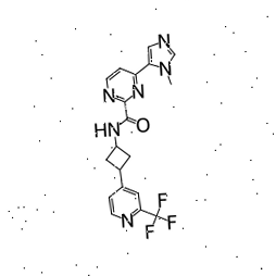 Cn1cncc1-c1ccnc(C(=O)NC2CC(c3ccnc(C(F)(F)F)c3)C2)n1